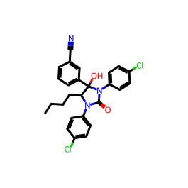 CCCCC1N(c2ccc(Cl)cc2)C(=O)N(c2ccc(Cl)cc2)C1(O)c1cccc(C#N)c1